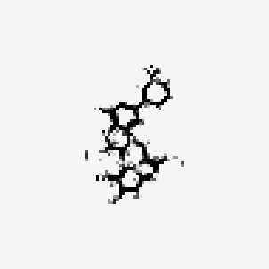 CC(=O)N1CCCC(c2cc(F)c3c(c2)N(Cc2c(C)nc4cc(F)c(Br)cn24)C(=O)[C@@H](C)O3)C1